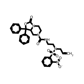 C=CCN(CCNC(=O)N1CCN2C(=O)OC(c3ccccc3)(c3ccccc3)C2C1)S(=O)(=O)c1ccccc1[N+](=O)[O-]